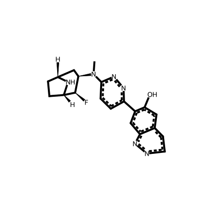 CN(c1ccc(-c2cc3nnccc3cc2O)nn1)[C@@H]1C[C@H]2CC[C@H](N2)[C@@H]1F